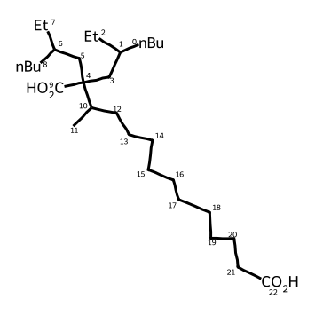 CCCCC(CC)CC(CC(CC)CCCC)(C(=O)O)C(C)CCCCCCCCCCC(=O)O